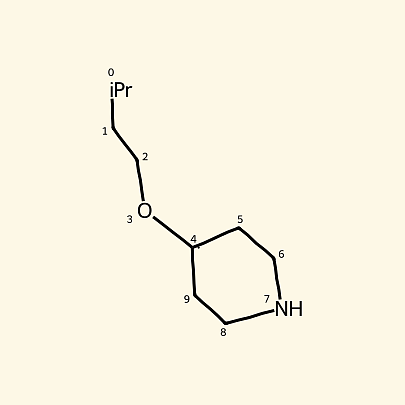 CC(C)CCO[C]1CCNCC1